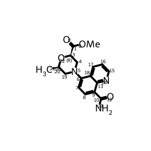 COC(=O)[C@H]1CN(c2ccc(C(N)=O)c3ncccc23)C[C@@H](C)O1